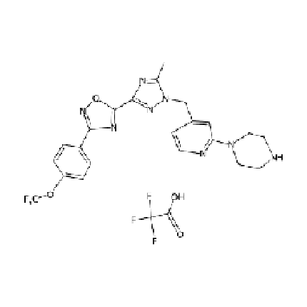 Cc1nc(-c2nc(-c3ccc(OC(F)(F)F)cc3)no2)nn1Cc1ccnc(N2CCNCC2)c1.O=C(O)C(F)(F)F